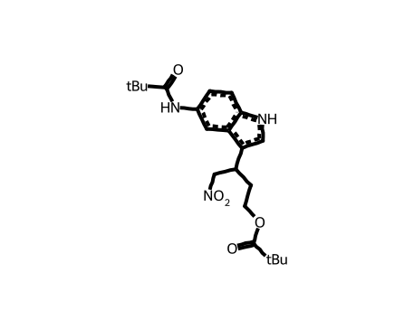 CC(C)(C)C(=O)Nc1ccc2[nH]cc(C(CCOC(=O)C(C)(C)C)C[N+](=O)[O-])c2c1